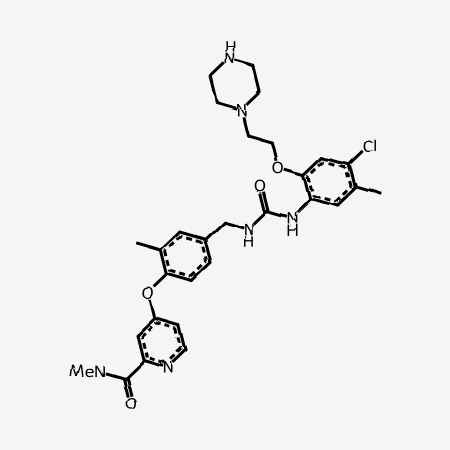 CNC(=O)c1cc(Oc2ccc(CNC(=O)Nc3cc(C)c(Cl)cc3OCCN3CCNCC3)cc2C)ccn1